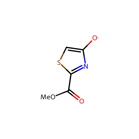 COC(=O)c1nc([O])cs1